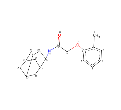 Cc1ccccc1OCC(=O)N1C2C3CC4CC(C3)CC21C4